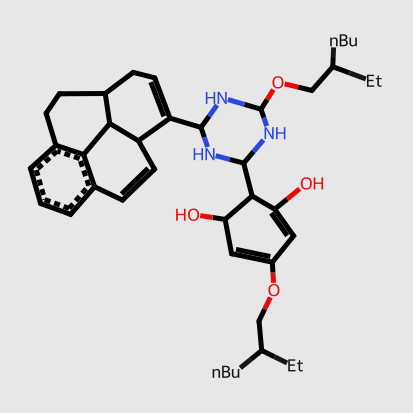 CCCCC(CC)COC1=CC(O)C(C2NC(OCC(CC)CCCC)NC(C3=CCC4CCc5cccc6c5C4C3C=C6)N2)C(O)=C1